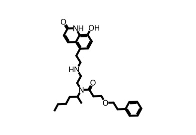 CCCCC(C)N(CCNCCc1ccc(O)c2[nH]c(=O)ccc12)C(=O)CCOCCc1ccccc1